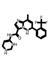 CC1=CC(c2ccccc2C(F)(F)F)Nn2c(C(=O)NC3=CCNCN3)cnc21